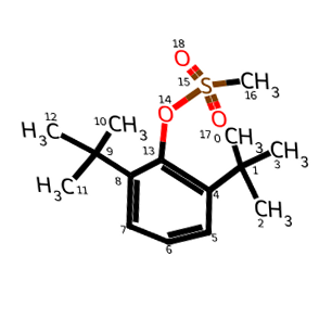 CC(C)(C)c1cccc(C(C)(C)C)c1OS(C)(=O)=O